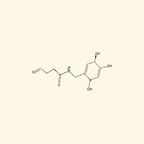 O=CCCC(=O)NCC1=C[C@@H](O)C(O)=CN1O